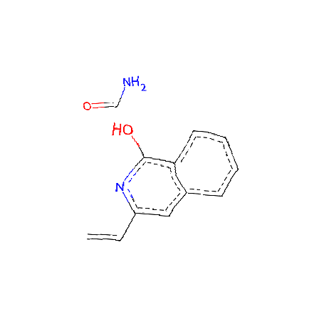 C=Cc1cc2ccccc2c(O)n1.NC=O